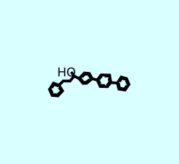 OC(CCc1ccccc1)c1ccc(-c2ccc(-c3ccccc3)cc2)cc1